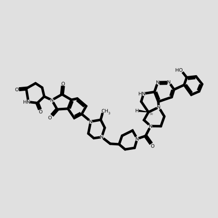 CC1CN(CC2CCN(C(=O)N3CCN4c5cc(-c6ccccc6O)nnc5NC[C@H]4C3)CC2)CCN1c1ccc2c(c1)C(=O)N(C1CCC(=O)NC1=O)C2=O